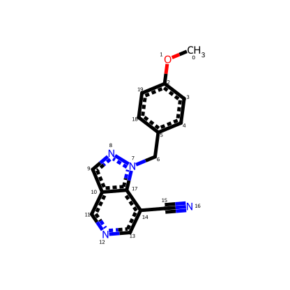 COc1ccc(Cn2ncc3cncc(C#N)c32)cc1